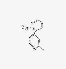 Cc1cccc(-c2ccc[c]c2[N+](=O)[O-])c1